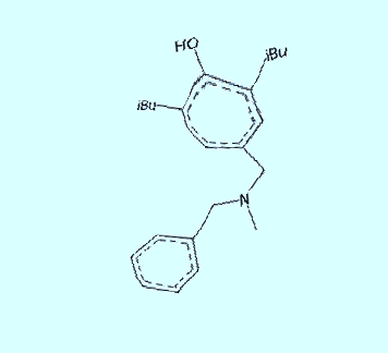 CCC(C)c1cc(CN(C)Cc2ccccc2)cc(C(C)CC)c1O